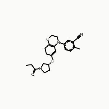 CCC(=O)N1CC[C@H](OC2=CC3=C(CC2)OCCN3c2ccc(C)c(C#N)c2)C1